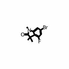 CN1C(=O)C(C)(C)c2c(F)cc(Br)cc21